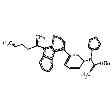 C=CCCC(=C)n1c2ccccc2c2c(C3=CC=CC(N(C(=C)CCCC)c4ccccc4)C3)cccc21